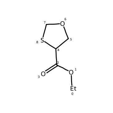 CCOC(=O)C1COCS1